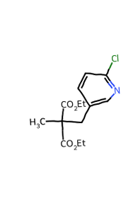 CCOC(=O)C(C)(Cc1ccc(Cl)nc1)C(=O)OCC